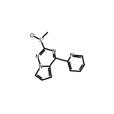 C[S+]([O-])c1nc(-c2ccccn2)c2cccn2n1